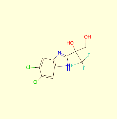 OCC(O)(c1nc2cc(Cl)c(Cl)cc2[nH]1)C(F)(F)F